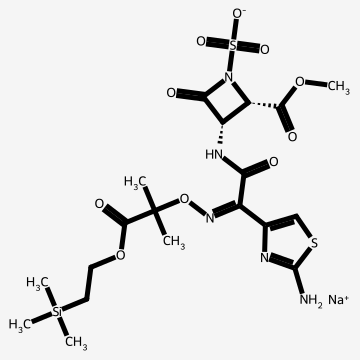 COC(=O)[C@@H]1[C@H](NC(=O)C(=NOC(C)(C)C(=O)OCC[Si](C)(C)C)c2csc(N)n2)C(=O)N1S(=O)(=O)[O-].[Na+]